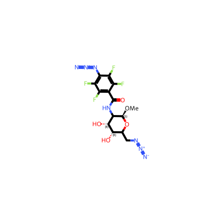 CO[C@H]1OC(CN=[N+]=[N-])[C@H](O)[C@H](O)C1NC(=O)c1c(F)c(F)c(N=[N+]=[N-])c(F)c1F